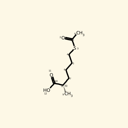 CC(=O)SCCCC[C@H](C)C(=O)O